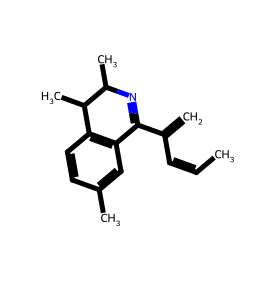 C=C(/C=C\C)C1=NC(C)C(C)c2ccc(C)cc21